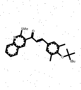 CSc1nc2ccccc2cc1C(=O)/C=C/c1cc(C)c(OC(C)(C)C(C)(C)C)c(C)c1